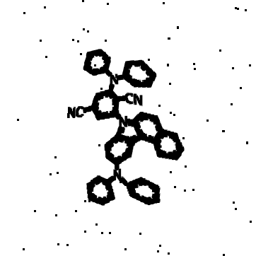 N#Cc1cc(N(c2ccccc2)c2ccccc2)c(C#N)c(-n2c3ccc(N(c4ccccc4)c4ccccc4)cc3c3c4ccccc4ccc32)c1